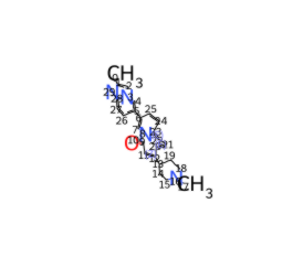 Cc1cn2cc(C3=CN4C(=O)\C=C(C5CCN(C)CC5)/C=C/C=C/4C=C3)ccc2n1